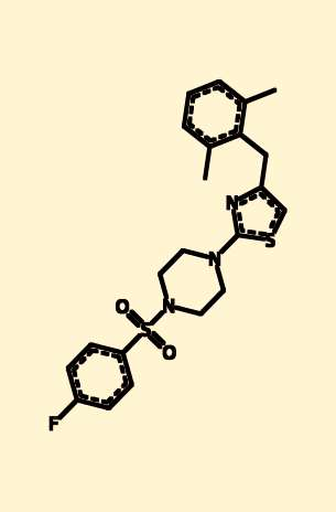 Cc1cccc(C)c1Cc1csc(N2CCN(S(=O)(=O)c3ccc(F)cc3)CC2)n1